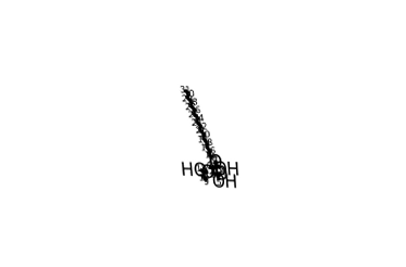 C=C(CC(=O)O)C(=O)O.C=CC(=O)O.[CH2]CCCCCCCCCCCCCCCCC